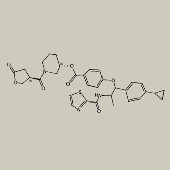 CC(NC(=O)c1nccs1)C(Oc1ccc(C(=O)O[C@H]2CCCN(C(=O)[C@H]3COC(=O)C3)C2)cc1)c1ccc(C2CC2)cc1